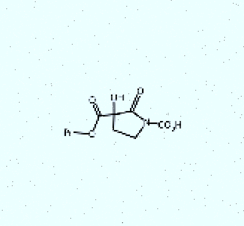 CC(C)OC(=O)C1(O)CCN(C(=O)O)C1=O